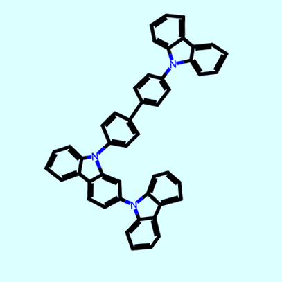 c1ccc2c(c1)c1ccccc1n2-c1ccc(-c2ccc(-n3c4ccccc4c4ccc(-n5c6ccccc6c6ccccc65)cc43)cc2)cc1